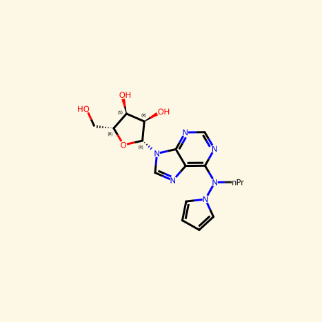 CCCN(c1ncnc2c1ncn2[C@@H]1O[C@H](CO)[C@@H](O)[C@H]1O)n1cccc1